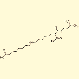 CN(C)CCSC(=O)C(CCCCCCNCCCCCCCC(=O)O)C(=O)O